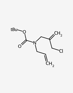 C=CCN(CC(=C)CCl)C(=O)OC(C)(C)C